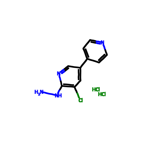 Cl.Cl.NNc1ncc(-c2ccncc2)cc1Cl